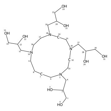 OCC(O)CN1CCCCN(CC(O)CO)CCN(CC(O)CO)CCN(CC(O)CO)CC1